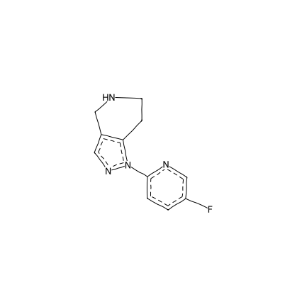 Fc1ccc(-n2ncc3c2CCNC3)nc1